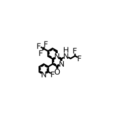 O=c1nc(NCC(F)F)n2ccc(C(F)(F)F)cc2c1-c1cccnc1F